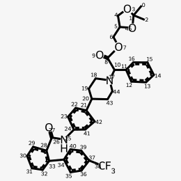 CC1(C)OCC(COC(=O)C(c2ccccc2)N2CCC(c3ccc(NC(=O)c4ccccc4-c4ccc(C(F)(F)F)cc4)cc3)CC2)O1